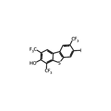 Oc1c(C(F)(F)F)cc2c(sc3cc(I)c(C(F)(F)F)cc32)c1C(F)(F)F